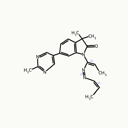 C\C=C/N=N\C(=C/C)N1C(=O)C(C)(C)c2ccc(-c3cnc(C)nc3)cc21